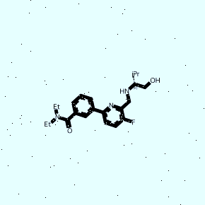 CCN(CC)C(=O)c1cccc(-c2ccc(F)c(CN[C@@H](CO)C(C)C)n2)c1